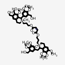 COc1cc(CC2c3c(cc(OC)c(OC)c3OC)CC[N+]2(C)CCCOC(=O)/C=C\C(=O)OCCC[N+]2(C)CCc3cc(CO)c(CO)c(OC)c3C2c2cc(CO)c(OC)c(OC)c2)cc(CO)c1OC